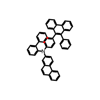 c1ccc(-c2ccccc2N(c2ccc(-c3c(-c4ccccc4)c4ccccc4c4ccccc34)cc2)c2ccc3c(ccc4ccccc43)c2)cc1